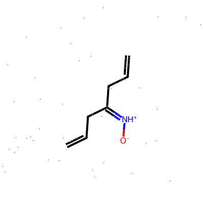 C=CCC(CC=C)=[NH+][O-]